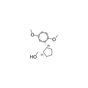 COc1ccc(OC)c([C@@H]2CCC[C@@H]2CO)c1